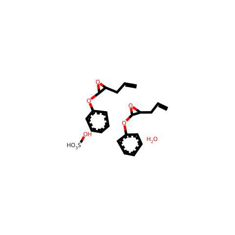 C=CCC1OC1Oc1ccccc1.C=CCC1OC1Oc1ccccc1.O.O=S(=O)(O)O